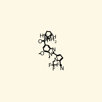 COc1cc(C(=O)N2C[C@H]3CC[C@@H]2[C@@H]3N)cc2nc(-c3ccc(C#N)n3CC(F)(F)F)n(C)c12